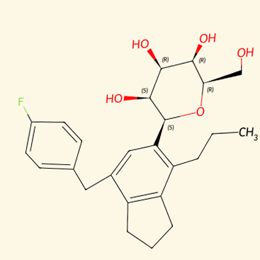 CCCc1c([C@@H]2O[C@H](CO)[C@H](O)[C@H](O)[C@@H]2O)cc(Cc2ccc(F)cc2)c2c1CCC2